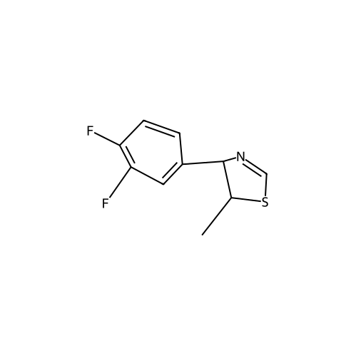 CC1SC=NC1c1ccc(F)c(F)c1